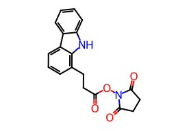 O=C(CCc1cccc2c1[nH]c1ccccc12)ON1C(=O)CCC1=O